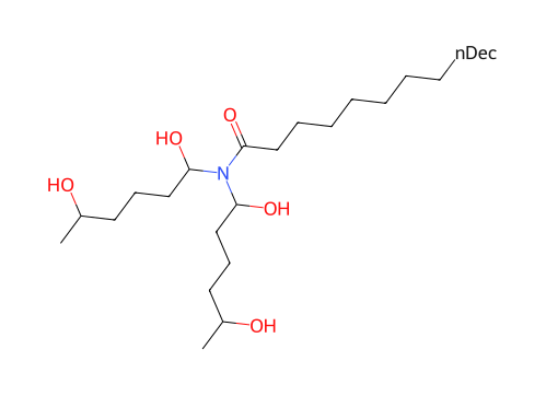 CCCCCCCCCCCCCCCCCC(=O)N(C(O)CCCC(C)O)C(O)CCCC(C)O